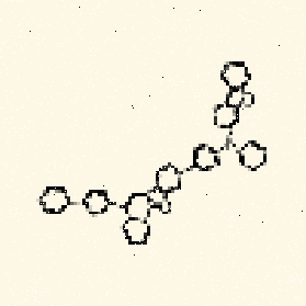 C1=CC2C(c3ccc(-c4ccccc4)cc3)=Cc3c(oc4cc(-c5ccc(N(C6=CCCC=C6)c6ccc7c(c6)oc6ccccc67)cc5)ccc34)C2C=C1